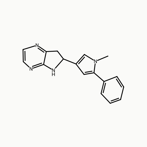 Cn1cc(C2Cc3nccnc3N2)cc1-c1ccccc1